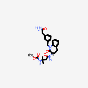 CC(C)(CC(=O)N[C@@H]1CCc2ccccc2N(Cc2cccc(CC(N)=O)c2)C1=O)NC(=O)OC(C)(C)C